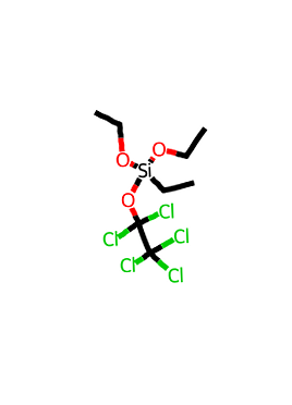 CCO[Si](CC)(OCC)OC(Cl)(Cl)C(Cl)(Cl)Cl